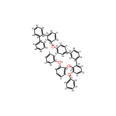 c1ccc(Oc2ccccc2Oc2c(Oc3ccccc3)cccc2-c2cccc(-c3ccc(Oc4cccc(-c5ccccc5-c5ccccc5)c4)cc3)c2)cc1